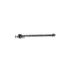 O=P(O)(O)OCCCCCCCCCCCCCCCCCCCCCCCCCCCCCCCCCCCCCCCBr